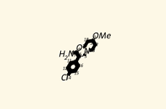 COC1CCN(C[C@@H](C(N)=O)c2ccc(Cl)cc2)CC1